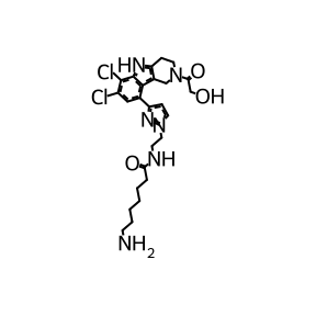 NCCCCCCC(=O)NCCn1ccc(-c2cc(Cl)c(Cl)c3[nH]c4c(c23)CN(C(=O)CO)CC4)n1